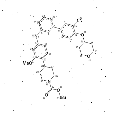 COc1nc(Nc2cc(-c3ccc(OC4CCOCC4)c(C#N)c3)ncn2)ccc1C1CCN(C(=O)OC(C)(C)C)CC1